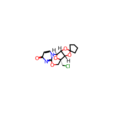 O=c1ccn2c(n1)OC[C@@]1(CCl)O[C@@H]2[C@@H]2OC3(CCCC3)O[C@@H]21